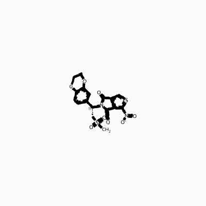 CS(=O)(=O)C[C@H](c1ccc2c(c1)OCCO2)N1C(=O)c2csc([N+](=O)[O-])c2C1=O